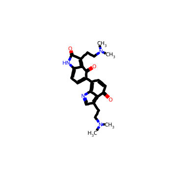 CN(C)CCC1=C2C(=O)C=CC(C3=CC=C4NC(=O)C(CCN(C)C)=C4C3=O)=C2N=C1